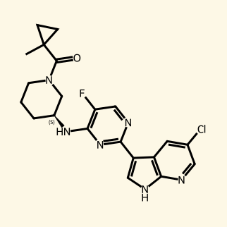 CC1(C(=O)N2CCC[C@H](Nc3nc(-c4c[nH]c5ncc(Cl)cc45)ncc3F)C2)CC1